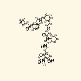 O=C1COc2c(CCNCCN(C(=O)CCOCCc3cccc(CN4CCC5(CC4)CN(C(=O)Cc4ccsc4)CCO5)c3)C3CCCCC3)ccc(O)c2N1